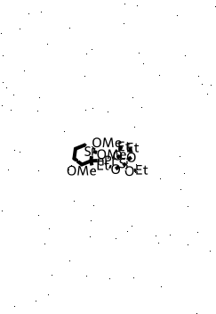 CCCC1(OC)CCCC[Si]1(OC)OC.CCO[Si](OCC)(OCC)OCC